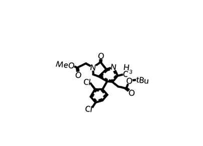 COC(=O)CN1Cc2c(nc(C)c(CC(=O)OC(C)(C)C)c2-c2ccc(Cl)cc2Cl)C1=O